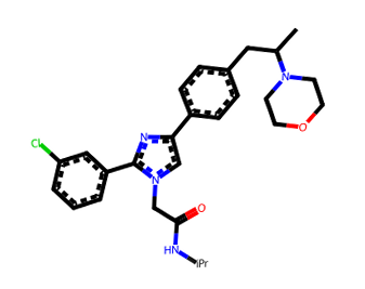 CC(C)NC(=O)Cn1cc(-c2ccc(CC(C)N3CCOCC3)cc2)nc1-c1cccc(Cl)c1